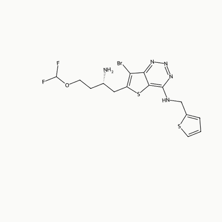 N[C@@H](CCOC(F)F)Cc1sc2c(NCc3cccs3)nnnc2c1Br